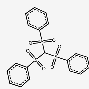 O=S(=O)(c1ccccc1)C(S(=O)(=O)c1ccccc1)S(=O)(=O)c1ccccc1